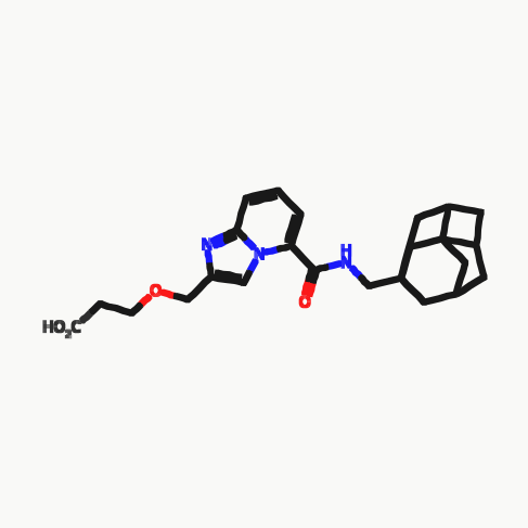 O=C(O)CCOCc1cn2c(C(=O)NCC34CC5CC6CC(C3)C6(C5)C4)cccc2n1